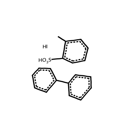 Cc1ccccc1S(=O)(=O)O.I.c1ccc(-c2ccccc2)cc1